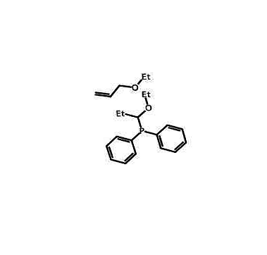 C=CCOCC.CCOC(CC)P(c1ccccc1)c1ccccc1